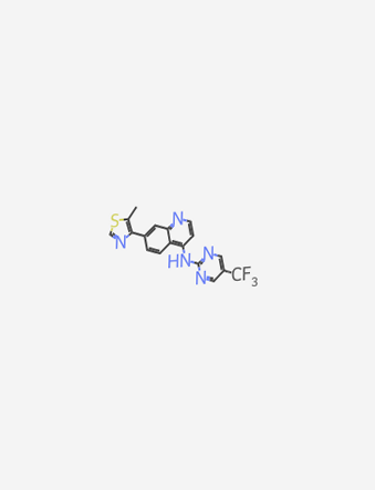 Cc1scnc1-c1ccc2c(Nc3ncc(C(F)(F)F)cn3)ccnc2c1